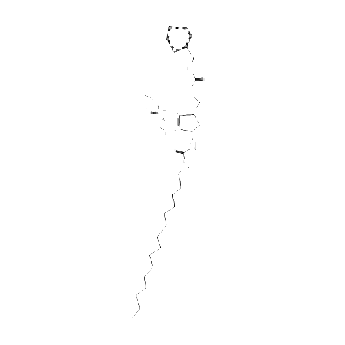 CCCCCCCCCCCCCCCNC(=O)N[C@@H]1C[C@H](COC(=O)OCc2ccccc2)C(OP(O)(=S)OC)[C@@H]1OC